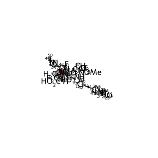 COC(=O)NC(C(=O)NC(Cc1ccc(C#Cc2ccc(N3CC4COCC(C3)N4C)nc2)cc1)C(O)CN(Cc1c(F)cc(-c2ccn(C3CC3)n2)cc1F)NC(=O)C(NC(=O)O)C(C)(C)C(F)(F)F)C(C)(C)C(F)(F)F